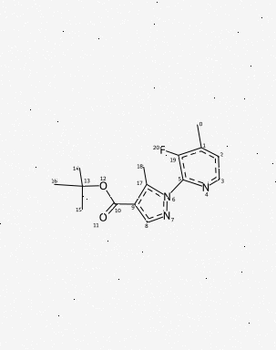 Cc1ccnc(-n2ncc(C(=O)OC(C)(C)C)c2C)c1F